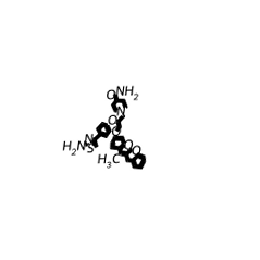 Cc1c(Cc2ccccc2)c(=O)oc2cc(OCC(CN3CCC(C(N)=O)CC3)Oc3ccc(-c4csc(N)n4)cc3)ccc12